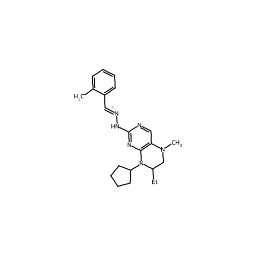 CCC1CN(C)c2cnc(N/N=C/c3ccccc3C)nc2N1C1CCCC1